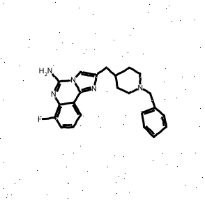 Nc1nc2c(F)cccc2c2nc(CC3CCN(Cc4ccccc4)CC3)cn12